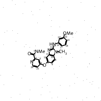 CNC(=O)c1cc(Oc2ccc3c(c2)nc(Nc2cccc(OC)c2)n3C)ccn1